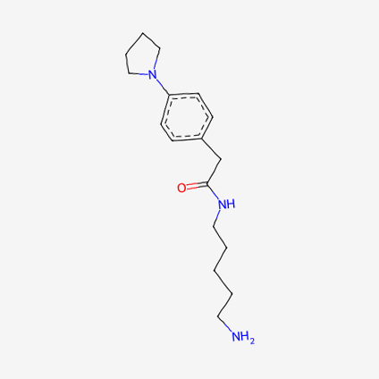 NCCCCCNC(=O)Cc1ccc(N2CCCC2)cc1